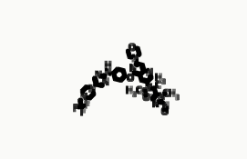 CC(c1cnc(N=O)n1C)N(c1cnc2cc(N3CCOCC3)nc(O[C@H]3CC[C@@H](Nc4ncc(N5CCN(CC(F)(F)F)CC5)cn4)CC3)c2c1)[S+](C)[O-]